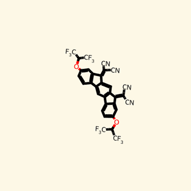 N#CC(C#N)=C1c2cc(OC(C(F)(F)F)C(F)(F)F)ccc2-c2cc3c(cc21)C(=C(C#N)C#N)c1cc(OC(C(F)(F)F)C(F)(F)F)ccc1-3